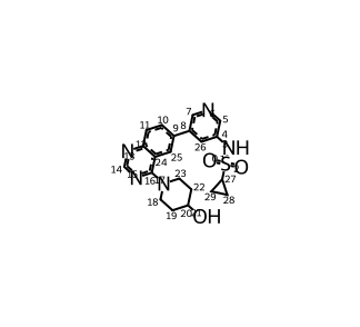 O=S(=O)(Nc1cncc(-c2ccc3ncnc(N4CCC(O)CC4)c3c2)c1)C1CC1